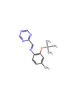 Cc1ccc(N=Cc2ncncn2)c(O[Si](C)(C)C)c1